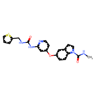 CNC(=O)n1ccc2cc(Oc3ccnc(NC(=O)NCc4cccs4)c3)ccc21